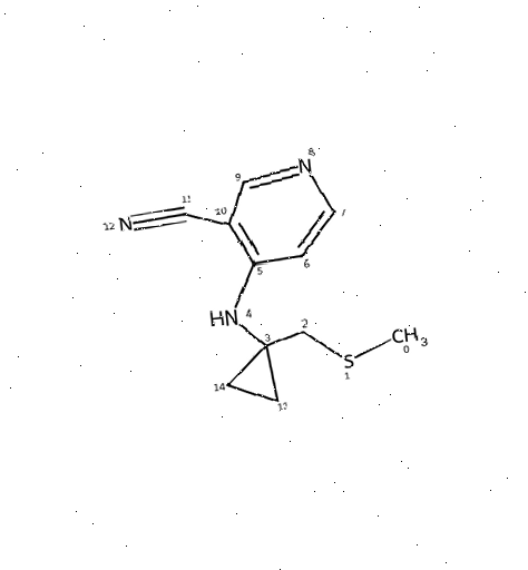 CSCC1(Nc2ccncc2C#N)CC1